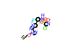 COc1ncc(Cl)cc1S(=O)(=O)Nc1ccc(F)c(-c2ccc3c(-c4nccn4COCC[Si](C)(C)C)ncn3c2F)c1F